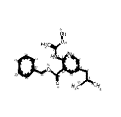 C=C(Nc1ncc(CC(C)C)cc1C(=O)OCc1ccccc1)OO